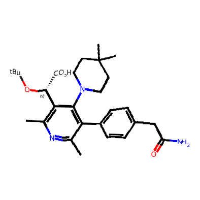 Cc1nc(C)c([C@H](OC(C)(C)C)C(=O)O)c(N2CCC(C)(C)CC2)c1-c1ccc(CC(N)=O)cc1